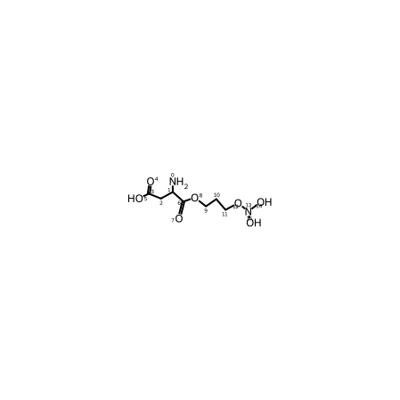 NC(CC(=O)O)C(=O)OCCCON(O)O